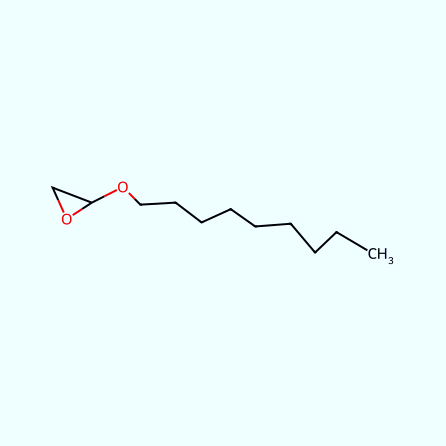 CCCCCCCCCOC1CO1